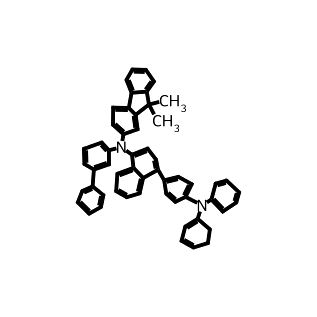 CC1(C)c2ccccc2-c2ccc(N(c3cccc(-c4ccccc4)c3)c3ccc(-c4ccc(N(C5=CC=CCC5)c5ccccc5)cc4)c4ccccc34)cc21